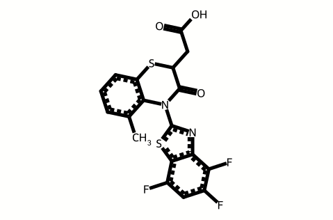 Cc1cccc2c1N(c1nc3c(F)c(F)cc(F)c3s1)C(=O)C(CC(=O)O)S2